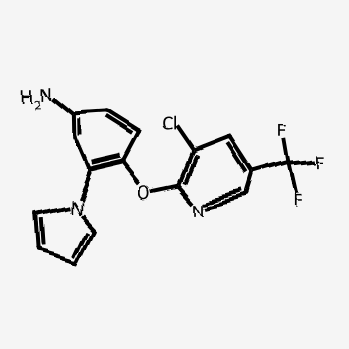 Nc1ccc(Oc2ncc(C(F)(F)F)cc2Cl)c(-n2cccc2)c1